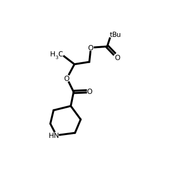 CC(COC(=O)C(C)(C)C)OC(=O)C1CCNCC1